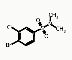 CN(C)S(=O)(=O)c1ccc(Br)c(Cl)c1